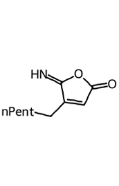 CCCCCCC1=CC(=O)OC1=N